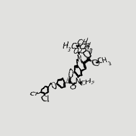 COC(=O)C1Cc2cc3c(cc2CN1C(=O)OC(C)(C)C)O[C@@H](c1ccc(OCc2ccc(Cl)c(Cl)c2)cc1)C(=O)N3C